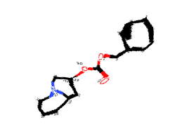 O=C(OCc1ccccc1)O[C@H]1CC2CCCN2C1